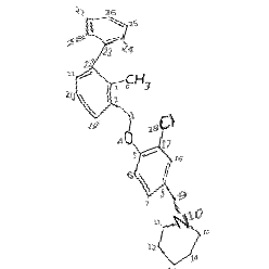 Cc1c(COc2ccc(CN3CCCCC3)cc2Cl)cccc1-c1ccccc1